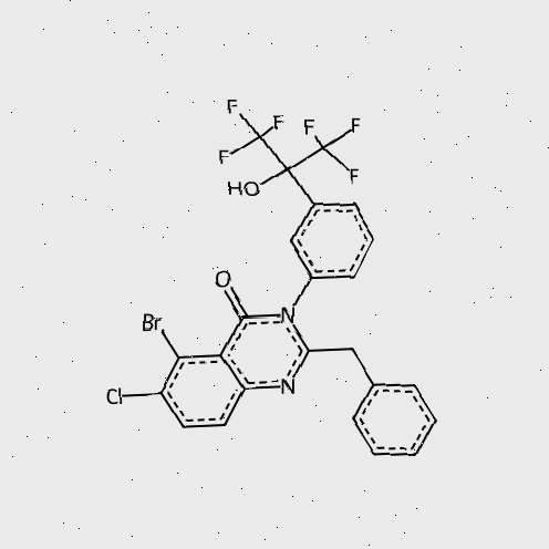 O=c1c2c(Br)c(Cl)ccc2nc(Cc2ccccc2)n1-c1cccc(C(O)(C(F)(F)F)C(F)(F)F)c1